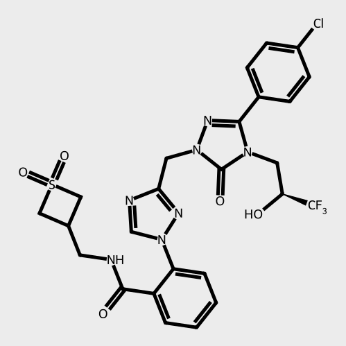 O=C(NCC1CS(=O)(=O)C1)c1ccccc1-n1cnc(Cn2nc(-c3ccc(Cl)cc3)n(C[C@H](O)C(F)(F)F)c2=O)n1